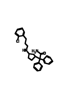 NC(=O)C(c1ccccc1)(c1ccccc1)C1CCC(NCCCc2ccccc2Cl)C1